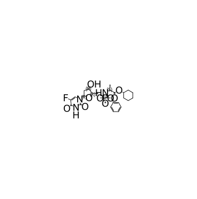 C[C@H](NP(=O)(OC[C@H]1O[C@@H](n2cc(F)c(=O)[nH]c2=O)C[C@H]1O)Oc1ccccc1)C(=O)OC1CCCCC1